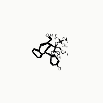 CC[C@@](OC(C)(C)C)(C(=O)O)c1c(C=O)cc2ccccc2c1-c1ccc(Cl)cc1